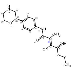 CCCC(=N)/C(Cl)=C(\N)C(=O)Nc1ccc([C@@H]2CNCCO2)nc1